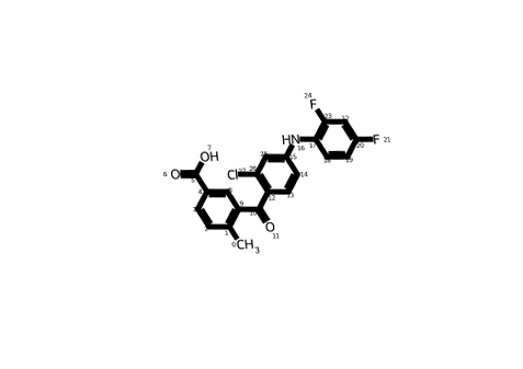 Cc1ccc(C(=O)O)cc1C(=O)c1ccc(Nc2ccc(F)cc2F)cc1Cl